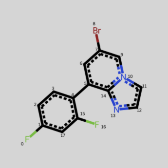 Fc1ccc(-c2cc(Br)cn3ccnc23)c(F)c1